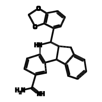 N=C(N)c1ccc2c(c1)C1c3ccccc3CC1C(c1cccc3c1OCO3)N2